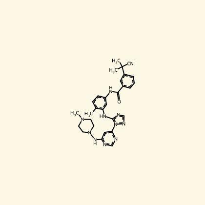 Cc1ccc(NC(=O)c2cccc(C(C)(C)C#N)c2)cc1Nc1ncnn1-c1cc(NN2CCN(C)CC2)ncn1